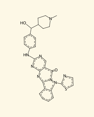 CN1CCC(C(O)c2ccc(Nc3ncc4c(=O)n5c(nc4n3)c3ccccc3n5-c3nccs3)cc2)CC1